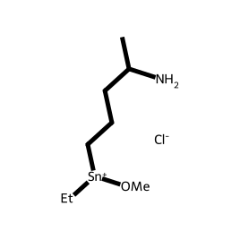 C[CH2][Sn+]([CH2]CCC(C)N)[O]C.[Cl-]